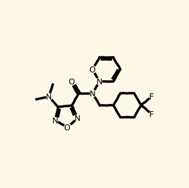 CN(C)c1nonc1C(=O)N(CC1CCC(F)(F)CC1)N1C=CC=CO1